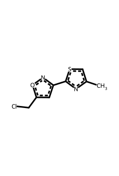 Cc1csc(-c2cc(CCl)on2)n1